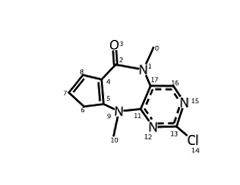 CN1C(=O)C2=C(CC=C2)N(C)c2nc(Cl)ncc21